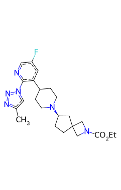 CCOC(=O)N1CC2(CC[C@@H](N3CCC(c4cc(F)cnc4-n4cc(C)nn4)CC3)C2)C1